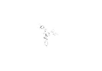 COc1cc(-n2cnc(Nc3nc(N4CCC[C@H]4CO)nn4c(C(=O)N5CCCCC5)ccc34)c2)cc(OC)c1OC